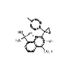 O=C(O)c1c(O)c(C2(c3ccc(F)cc3)CC2)nc2c(C(O)(C(F)(F)F)C(F)(F)F)cccc12